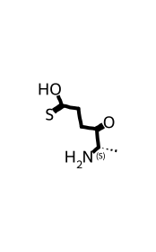 C[C@H](N)C(=O)CCC(O)=S